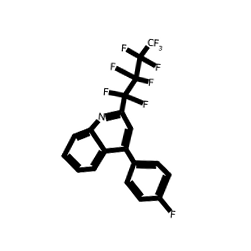 Fc1ccc(-c2cc(C(F)(F)C(F)(F)C(F)(F)C(F)(F)F)nc3ccccc23)cc1